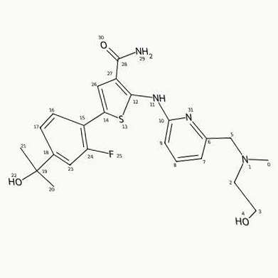 CN(CCO)Cc1cccc(Nc2sc(-c3ccc(C(C)(C)O)cc3F)cc2C(N)=O)n1